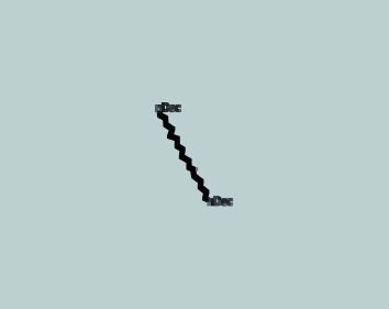 CCCCCCCCCCCCCCC[CH]CCCCCCCCCCCCCCCCCCCCC